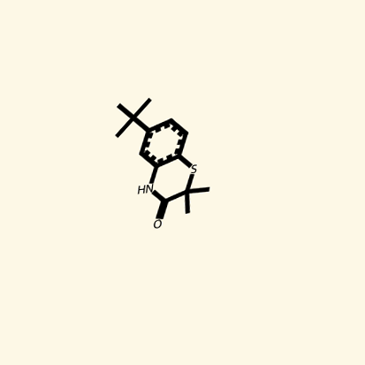 CC1(C)Sc2ccc(C(C)(C)C)cc2NC1=O